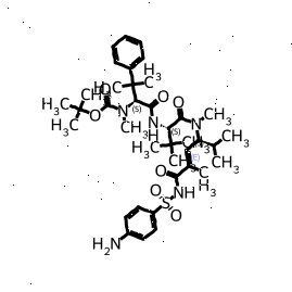 C/C(=C\[C@H](C(C)C)N(C)C(=O)[C@@H](NC(=O)[C@@H](N(C)C(=O)OC(C)(C)C)C(C)(C)c1ccccc1)C(C)(C)C)C(=O)NS(=O)(=O)c1ccc(N)cc1